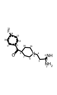 N=C(N)CCN1CCC(C(=O)c2ccc(F)cc2)CC1